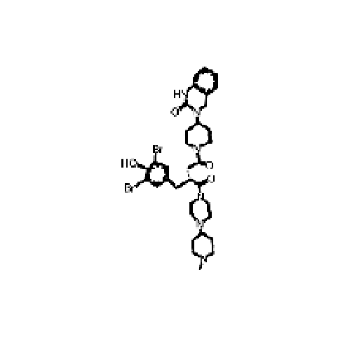 CN1CCC(N2CCN(C(=O)[C@@H](CC(=O)N3CCC(N4Cc5ccccc5NC4=O)CC3)Cc3cc(Br)c(O)c(Br)c3)CC2)CC1